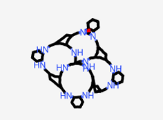 CC1(C)N2CC3CC4CNCC56CNCC7CC(CNC8CCCCC8NCC8CC(CNC5)CC(CNC5CCCCC5NCC5CC(CNC6)CC(C5)CN1C1CCCCC12)C8)CC(CNC1CCCCC1NCC(C4)C3)C7